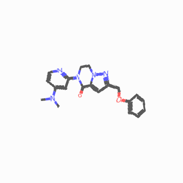 CN(C)c1ccnc(N2CCn3nc(COc4ccccc4)cc3C2=O)c1